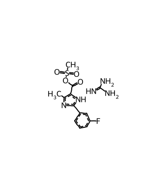 Cc1nc(-c2cccc(F)c2)[nH]c1C(=O)OS(C)(=O)=O.N=C(N)N